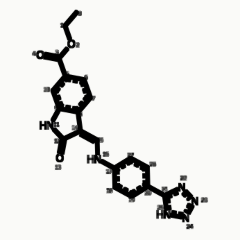 CCOC(=O)c1ccc2c(c1)NC(=O)C2=CNc1ccc(-c2nnn[nH]2)cc1